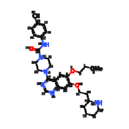 COCCOc1cc2c(N3CCN(C(=O)Nc4ccc(C#N)cc4)CC3)ncnc2cc1OCCC1CCCCN1